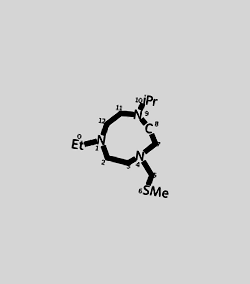 CCN1CCN(CSC)CCN(C(C)C)CC1